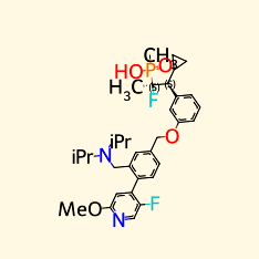 COc1cc(-c2ccc(COc3cccc([C@H](C4CC4)[C@@](C)(F)P(C)(=O)O)c3)cc2CN(C(C)C)C(C)C)c(F)cn1